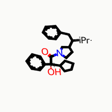 C[C](C)C(Cc1ccccc1)C1CCN(C(=O)[C@](O)(c2ccccc2)C2CCCC2)C1